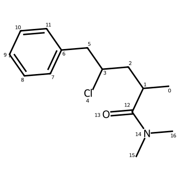 CC(CC(Cl)Cc1cc[c]cc1)C(=O)N(C)C